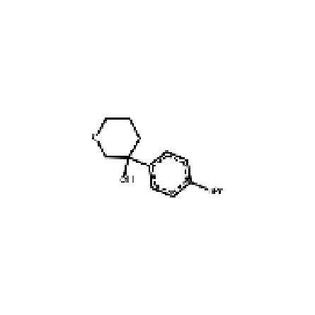 CCCc1ccc(C2(O)CCCOC2)cc1